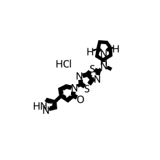 CN(c1nc2sc(-n3ccc(-c4cn[nH]c4)cc3=O)nc2s1)C1C[C@H]2CC[C@@H](C1)N2.Cl